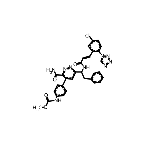 COC(=O)Nc1ccc(-c2cc(C(Cc3ccccc3)NC(=O)/C=C/c3cc(Cl)ccc3-n3cnnn3)nnc2C(N)=O)cc1